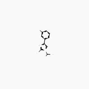 [CH2]C(O)n1cc(-c2cccc(F)c2)nc1C(C)(C)C